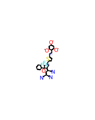 COc1cc(OC)c(/C=C/c2ccc(/C=C/C3=C(C#N)C(=C(C#N)C#N)OC3(c3ccccc3)C(F)(F)F)s2)c(OC)c1